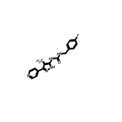 Cc1c(-c2ccncc2)n[nH]c1NC(=O)NCc1ccc(F)cc1